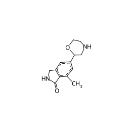 Cc1cc(C2CNCCO2)cc2c1C(=O)NC2